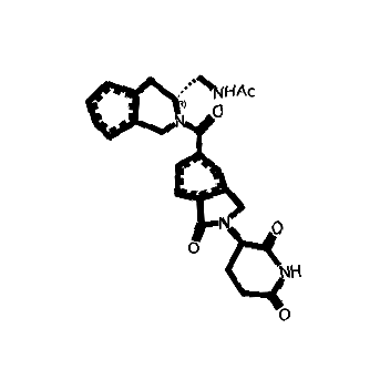 CC(=O)NC[C@H]1Cc2ccccc2CN1C(=O)c1ccc2c(c1)CN(C1CCC(=O)NC1=O)C2=O